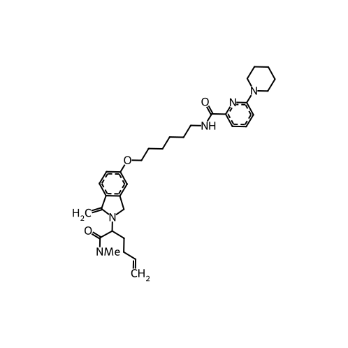 C=CCCC(C(=O)NC)N1Cc2cc(OCCCCCCNC(=O)c3cccc(N4CCCCC4)n3)ccc2C1=C